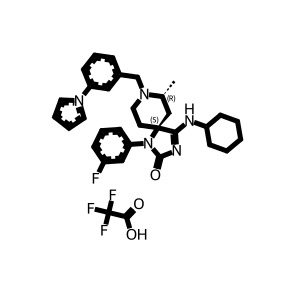 C[C@@H]1C[C@@]2(CCN1Cc1cccc(-n3cccc3)c1)C(NC1CCCCC1)=NC(=O)N2c1cccc(F)c1.O=C(O)C(F)(F)F